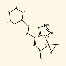 C[C@@H](/C=C/CCC1CCCCC1)C1(n2ccnc2)CC1